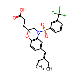 CCC(=Cc1ccc2c(c1)N(S(=O)(=O)c1cccc(C(F)(F)F)c1)C[C@H](CCC(=O)O)O2)CC